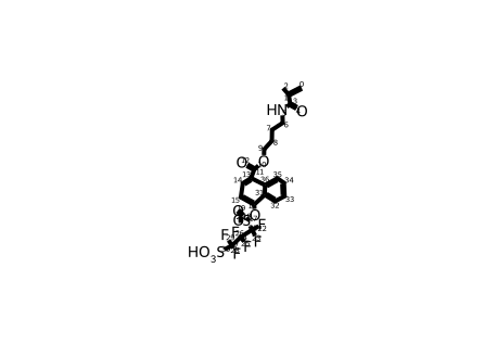 C=C(C)C(=O)NCCCCOC(=O)c1ccc(OS(=O)(=O)C(F)(F)C(F)(F)C(F)(F)S(=O)(=O)O)c2ccccc12